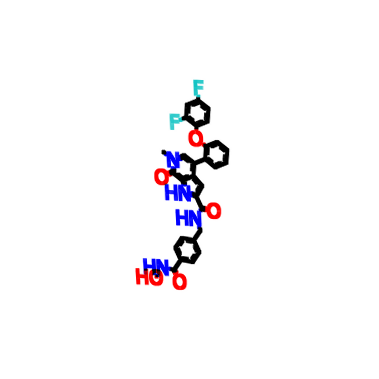 Cn1cc(-c2ccccc2Oc2ccc(F)cc2F)c2cc(C(=O)NCc3ccc(C(=O)NO)cc3)[nH]c2c1=O